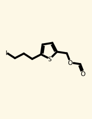 O=COCc1ccc(CCCI)s1